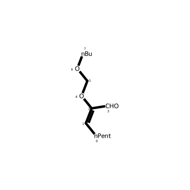 CCCCC/C=C(\C=O)OCOCCCC